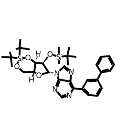 CC(C)(C)[Si](C)(C)O[C@@H]1[C@@H]2O[Si](C(C)(C)C)(C(C)(C)C)OC[C@H]2O[C@H]1n1cnc2c(-c3cccc(-c4ccccc4)c3)ncnc21